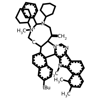 C=C1CN(C2CCCCC2)C(c2ccccc2)[N+](C)(C2CCCCC2)CCC2c3ccc4cc(C(C)(C)C)ccc4c3-c3c4c(nc[n+]3C12)c1ccc2ccc(C)c(C)c2c1n4C